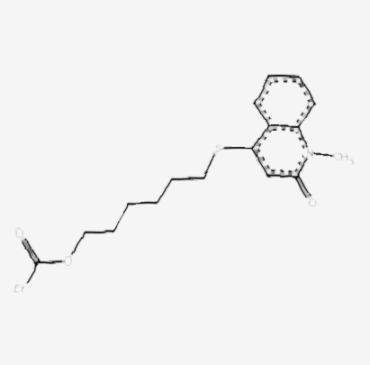 CCC(=O)OCCCCCCSc1cc(=O)n(C)c2ccccc12